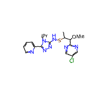 COC(c1ncc(Cl)cn1)C(C)SNc1nnc(-c2ccccn2)n1C(C)C